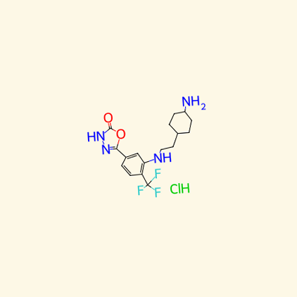 Cl.NC1CCC(CCNc2cc(-c3n[nH]c(=O)o3)ccc2C(F)(F)F)CC1